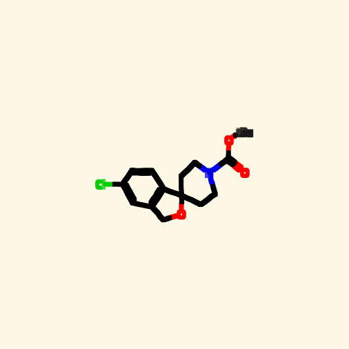 CC(C)(C)OC(=O)N1CCC2(CC1)OCc1cc(Cl)ccc12